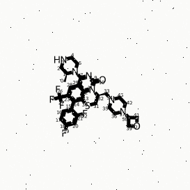 C[C@H]1CNCCN1c1nc(=O)n2c3c(c(-c4ccc(F)cc4F)c(C(F)(F)F)cc13)SC[C@@H]2CN1CCN(C2COC2)CC1